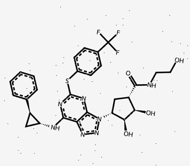 O=C(NCCO)[C@H]1C[C@@H](n2nnc3c(N[C@@H]4C[C@H]4c4ccccc4)nc(Sc4ccc(C(F)(F)F)cc4)nc32)[C@H](O)[C@@H]1O